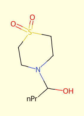 CCCC(O)N1CCS(=O)(=O)CC1